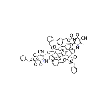 CC1=C(C#N)C(=O)N(C(=O)OCc2ccccc2)C(=O)/C1=N\c1cc2c(s1)-c1sc3c4c(sc3c1C2(C(=O)OCc1ccccc1)C(=O)OCc1ccccc1)-c1sc(/N=C2/C(=O)N(C(=O)OCc3ccccc3)C(=O)C(C#N)=C2C)cc1C4(C(=O)OCc1ccccc1)C(=O)OCc1ccccc1